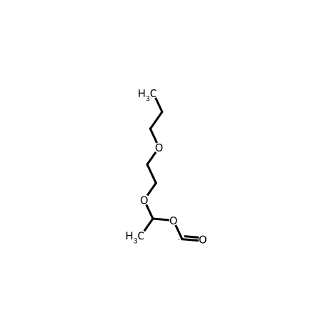 CCCOCCOC(C)O[C]=O